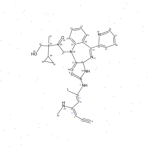 C#C/C=C(\C=C(/C)NC(=O)NC1N=C(c2ccccn2)c2ccccc2N(CC(=O)C(C)(CO)C2CC2)C1=O)NC